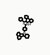 c1ccc(C2=NC(c3ccc(-n4c5c(c6ccccc64)-c4cccc6cccc-5c46)cc3)Nc3c2c2ccccc2c2ccccc32)cc1